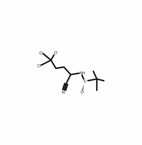 CC(C)(C)[S@+]([O-])NC(C#N)CCC(Cl)(Cl)Cl